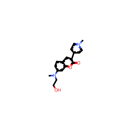 CN(CCO)c1ccc2cc(-c3cc[n+](C)cc3)c(=O)oc2c1